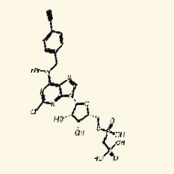 C#Cc1ccc(CN(CCC)c2nc(Cl)nc3c2ncn3[C@@H]2O[C@H](COP(=O)(O)CP(=O)(O)O)[C@H](O)[C@@H]2O)cc1